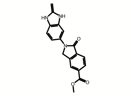 C=C1Nc2ccc(N3Cc4cc(C(=O)OC)ccc4C3=O)cc2N1